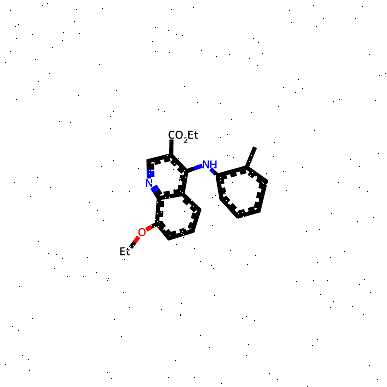 CCOC(=O)c1cnc2c(OCC)cccc2c1Nc1ccccc1C